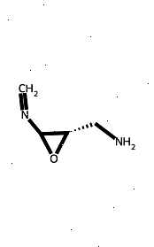 C=NC1O[C@H]1CN